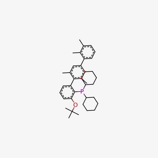 Cc1cccc(-c2cc(C)c(-c3cccc(OC(C)(C)C)c3P(C3CCCCC3)C3CCCCC3)c(C)c2)c1C